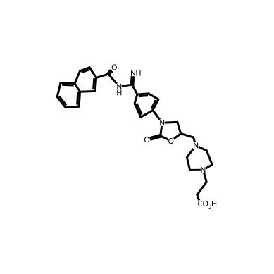 N=C(NC(=O)c1ccc2ccccc2c1)c1ccc(N2CC(CN3CCN(CCC(=O)O)CC3)OC2=O)cc1